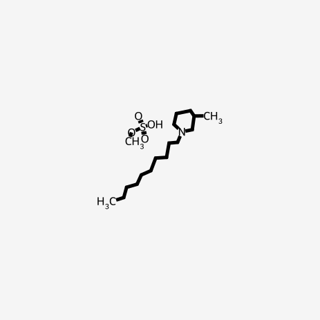 CCCCCCCCCCN1CCCC(C)C1.COS(=O)(=O)O